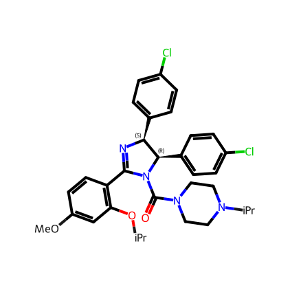 COc1ccc(C2=N[C@@H](c3ccc(Cl)cc3)[C@@H](c3ccc(Cl)cc3)N2C(=O)N2CCN(C(C)C)CC2)c(OC(C)C)c1